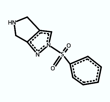 O=S(=O)(c1ccccc1)n1cc2c(n1)CNC2